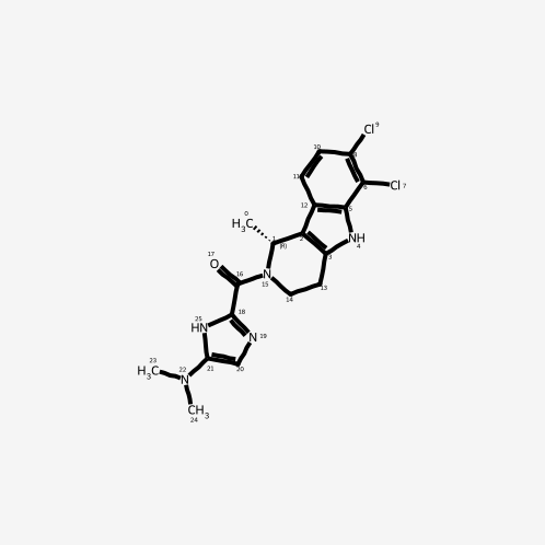 C[C@@H]1c2c([nH]c3c(Cl)c(Cl)ccc23)CCN1C(=O)c1ncc(N(C)C)[nH]1